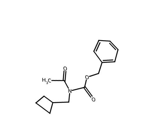 CC(=O)N(CC1CCC1)C(=O)OCc1ccccc1